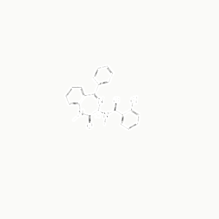 CN1C(=O)[C@H](N(C)C(=O)c2ccccc2Cl)N=C(c2ccccc2)c2ccccc21